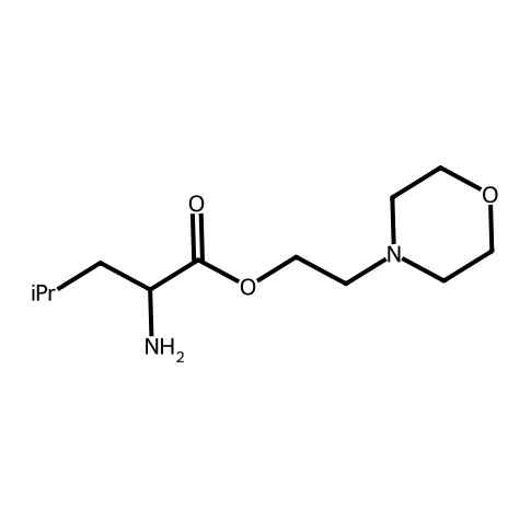 CC(C)CC(N)C(=O)OCCN1CCOCC1